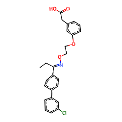 CC/C(=N\OCCOc1cccc(CC(=O)O)c1)c1ccc(-c2cccc(Cl)c2)cc1